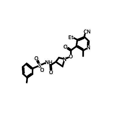 CCc1c(C#N)cnc(C)c1C(=O)ON1CC(C(=O)NS(=O)(=O)c2cccc(C)c2)C1